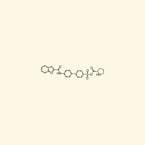 O=C(Nc1ccc(-c2ccc(S(=O)(=O)OC(=O)[C@H]3CCCN3)cc2)cc1)c1cc2ccccc2o1